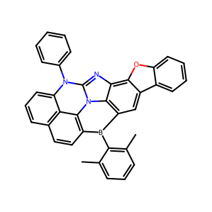 Cc1cccc(C)c1B1c2cc3c4ccccc4oc3c3nc4n(-c5ccccc5)c5cccc6ccc1c(c65)n4c23